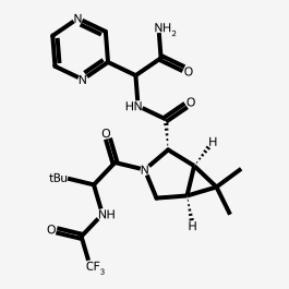 CC(C)(C)C(NC(=O)C(F)(F)F)C(=O)N1C[C@H]2[C@@H]([C@H]1C(=O)NC(C(N)=O)c1cnccn1)C2(C)C